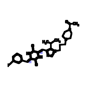 CC(=O)N1CCN(CCCn2cnc(/C=c3\[nH]c(=O)/c(=C/c4cccc(F)c4)[nH]c3=O)c2C(C)C)CC1